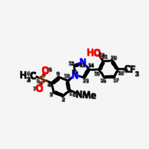 CNc1ccc(S(C)(=O)=O)cc1-n1cnc(-c2ccc(C(F)(F)F)cc2O)c1